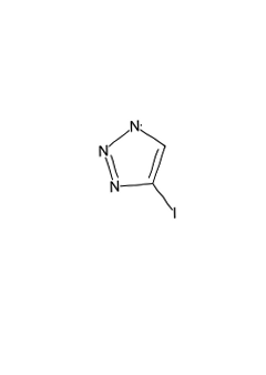 IC1=C[N]N=N1